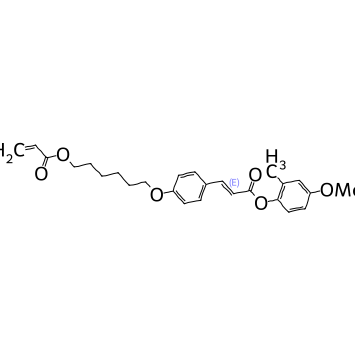 C=CC(=O)OCCCCCCOc1ccc(/C=C/C(=O)Oc2ccc(OC)cc2C)cc1